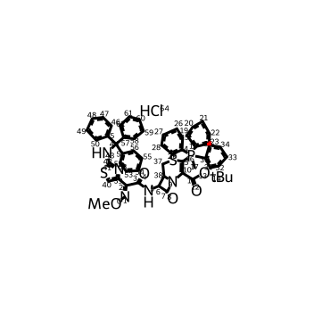 CON=C(C(=O)NC1C(=O)N2C(C(=O)OC(C)(C)C)=C(P(C)(c3ccccc3)(c3ccccc3)c3ccccc3)SCC12)c1csc(NC(c2ccccc2)(c2ccccc2)c2ccccc2)n1.Cl